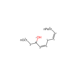 CCCCC/C=C\C/C=C\C(O)CCCCCCCCC